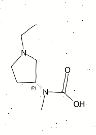 CCN1CC[C@@H](N(C)C(=O)O)C1